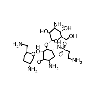 NCCS(=O)(=O)N[C@@H]1C[C@H](N)C(O[C@H]2O[C@H](CN)CC[C@H]2N)[C@H](O)[C@H]1O[C@H]1O[C@H](CO)[C@@H](O)[C@H](N)[C@H]1O